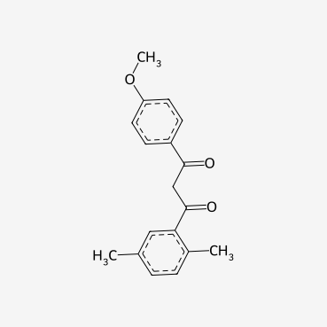 COc1ccc(C(=O)CC(=O)c2cc(C)ccc2C)cc1